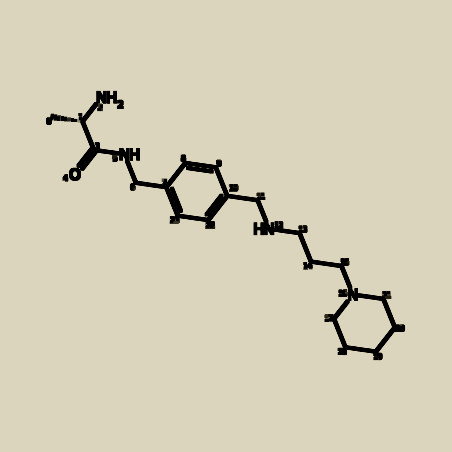 C[C@H](N)C(=O)NCc1ccc(CNCCCN2CCCCC2)cc1